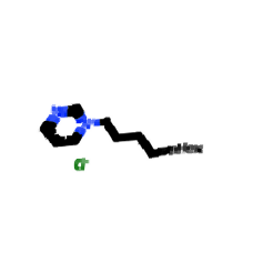 CCCCCCCCCC[n+]1cccnc1.[Cl-]